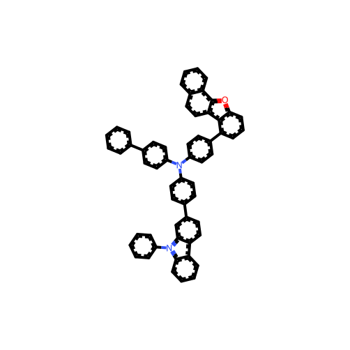 c1ccc(-c2ccc(N(c3ccc(-c4ccc5c6ccccc6n(-c6ccccc6)c5c4)cc3)c3ccc(-c4cccc5oc6c7ccccc7ccc6c45)cc3)cc2)cc1